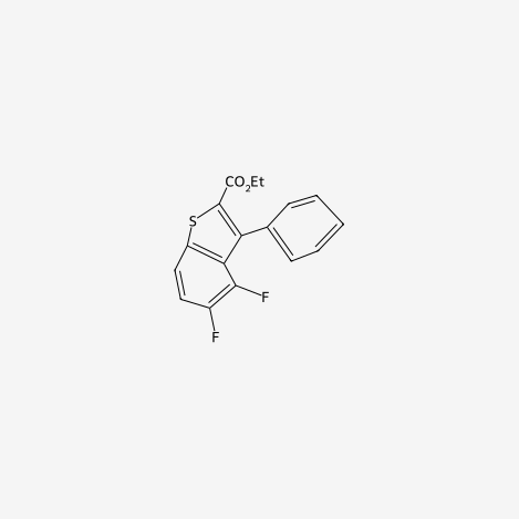 CCOC(=O)c1sc2ccc(F)c(F)c2c1-c1ccccc1